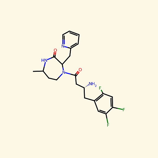 CC1CCN(C(=O)C[C@H](N)Cc2cc(F)c(F)cc2F)C(Cc2ccccn2)C(=O)N1